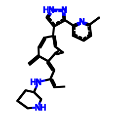 C=C1\C=C/C(c2c[nH]nc2-c2cccc(C)n2)=C/C=C/C1=C/C(=C\C)NC1CCCNC1